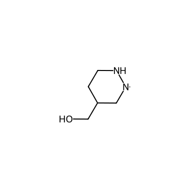 OCC1CCN[N]C1